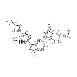 C[C@@H](NC(=O)c1c[nH]c2ncc(-c3nn(C)c4cc(C5CC5)ccc34)nc12)C(=O)N1CC(N)C1